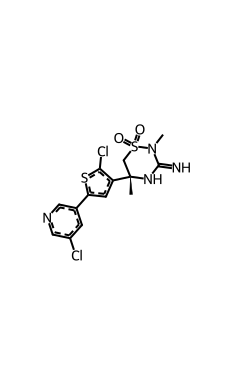 CN1C(=N)N[C@](C)(c2cc(-c3cncc(Cl)c3)sc2Cl)CS1(=O)=O